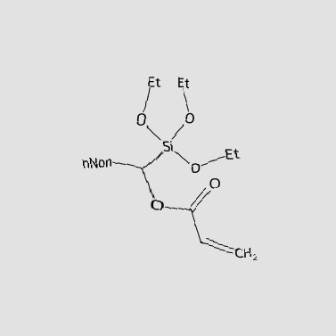 C=CC(=O)OC(CCCCCCCCC)[Si](OCC)(OCC)OCC